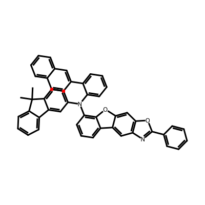 CC1(C)c2ccccc2-c2cc(N(c3ccccc3-c3ccc4ccccc4c3)c3cccc4c3oc3cc5oc(-c6ccccc6)nc5cc34)ccc21